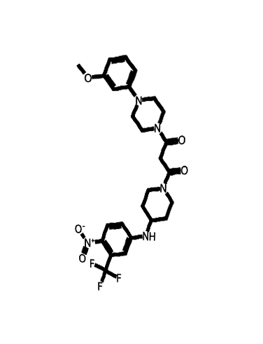 COc1cccc(N2CCN(C(=O)CC(=O)N3CCC(Nc4ccc([N+](=O)[O-])c(C(F)(F)F)c4)CC3)CC2)c1